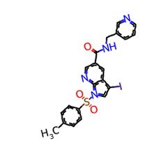 Cc1ccc(S(=O)(=O)n2cc(I)c3cc(C(=O)NCc4cccnc4)cnc32)cc1